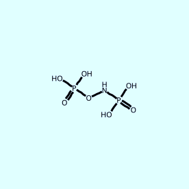 O=P(O)(O)NOP(=O)(O)O